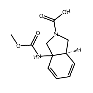 COC(=O)NC12C=CC=C[C@@H]1CN(C(=O)O)C2